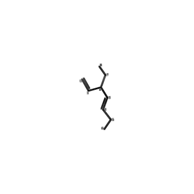 C=CC(/C=C/CC)CC